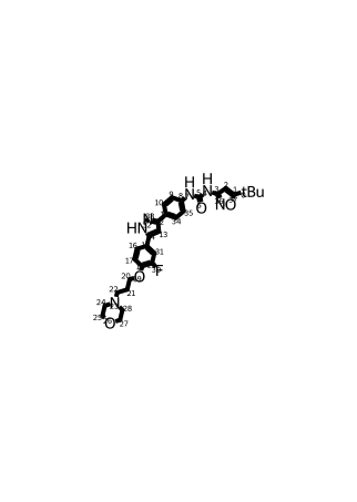 CC(C)(C)c1cc(NC(=O)Nc2ccc(-c3cc(-c4ccc(OCCCN5CCOCC5)c(F)c4)[nH]n3)cc2)no1